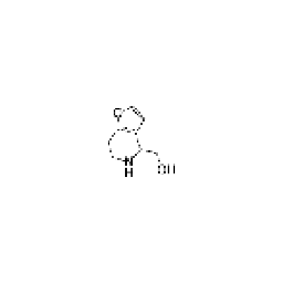 OCC1NCCc2occc21